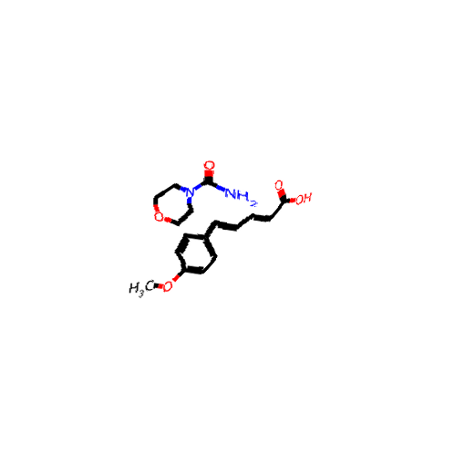 COc1ccc(/C=C/C=C/C(=O)O)cc1.NC(=O)N1CCOCC1